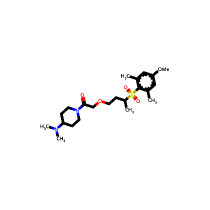 COc1cc(C)c(S(=O)(=O)C(C)CCOCC(=O)N2CCC(N(C)C)CC2)c(C)c1